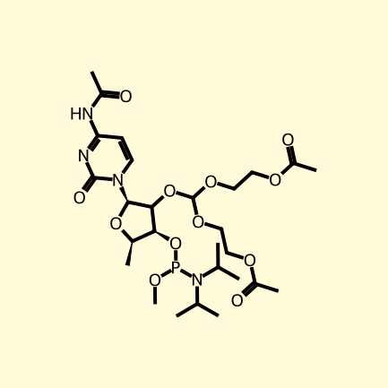 COP(O[C@@H]1C(OC(OCCOC(C)=O)OCCOC(C)=O)[C@H](n2ccc(NC(C)=O)nc2=O)O[C@@H]1C)N(C(C)C)C(C)C